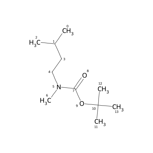 CC(C)CCN(C)C(=O)OC(C)(C)C